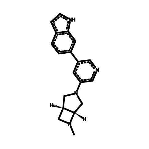 CN1C[C@H]2CN(c3cncc(-c4ccc5cc[nH]c5c4)c3)C[C@H]21